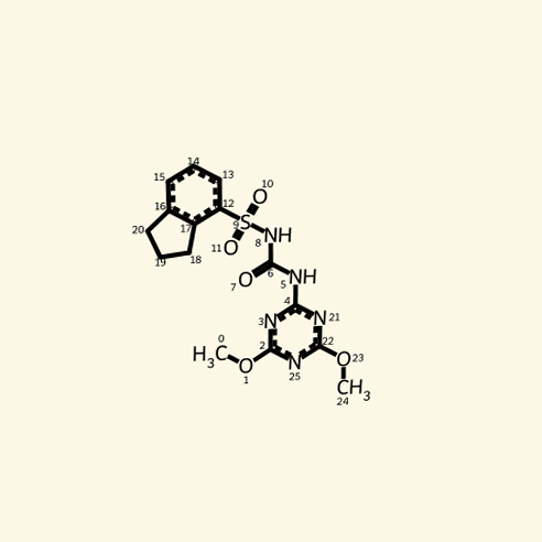 COc1nc(NC(=O)NS(=O)(=O)c2cccc3c2CCC3)nc(OC)n1